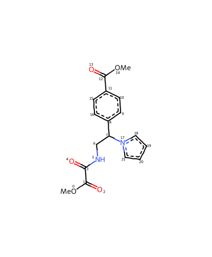 COC(=O)C(=O)NCC(c1ccc(C(=O)OC)cc1)n1cccc1